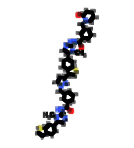 Cn1c(-c2ccc3ccsc3c2)cnc1NC(=O)c1cccc(Cn2ccc(-c3csc4cc(-c5cnc(NC(=O)c6cccc(Cn7ccccc7=O)c6)n5C)ccc34)n2)c1